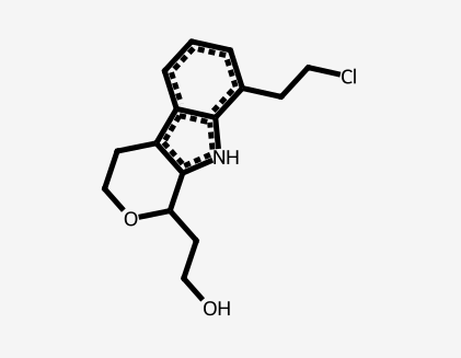 OCCC1OCCc2c1[nH]c1c(CCCl)cccc21